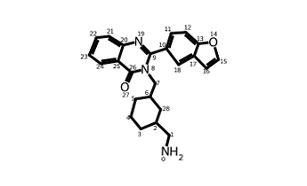 NCC1CCCC(Cn2c(-c3ccc4occc4c3)nc3ccccc3c2=O)C1